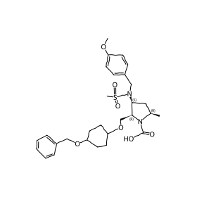 COc1ccc(CN([C@H]2C[C@@H](C)N(C(=O)O)[C@H]2COC2CCC(OCc3ccccc3)CC2)S(C)(=O)=O)cc1